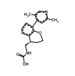 Cc1cc(-c2cccc3c2OCC[C@H]3CNC(=O)O)c(C)cn1